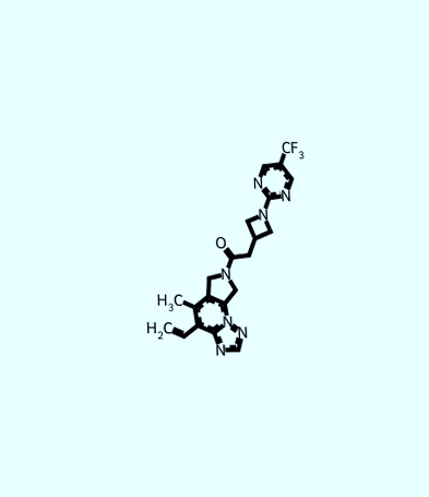 C=Cc1c(C)c2c(n3ncnc13)CN(C(=O)CC1CN(c3ncc(C(F)(F)F)cn3)C1)C2